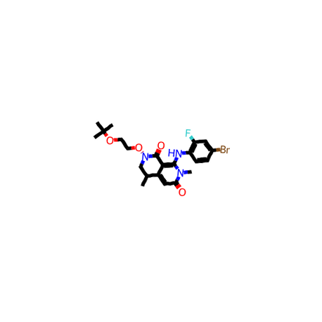 CC1CN(OCCOC(C)(C)C)C(=O)c2c1cc(=O)n(C)c2Nc1ccc(Br)cc1F